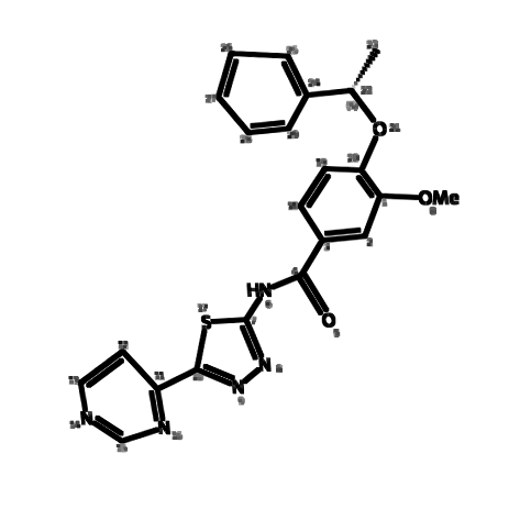 COc1cc(C(=O)Nc2nnc(-c3ccncn3)s2)ccc1O[C@@H](C)c1ccccc1